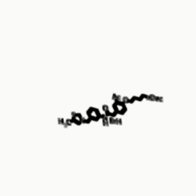 Br.CCCCCCCCCCCCCCOc1ccc(CC(=O)Nc2cccc(CN3C=C(C)SC3)c2)cc1C(C)=O